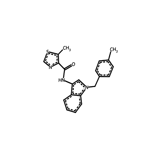 Cc1ccc(Cn2cc(NC(=O)c3ncsc3C)c3ccccc32)cc1